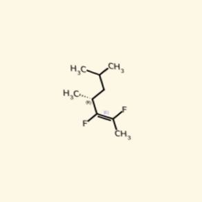 C/C(F)=C(\F)[C@H](C)CC(C)C